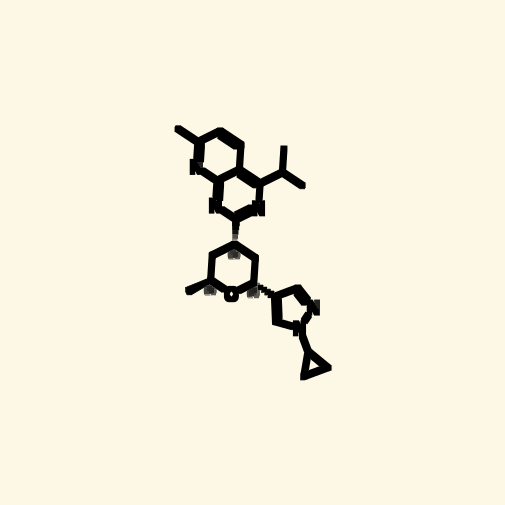 Cc1ccc2c(C(C)C)nc([C@H]3C[C@H](C)O[C@@H](c4cnn(C5CC5)c4)C3)nc2n1